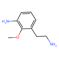 COc1c(N)cccc1CCN